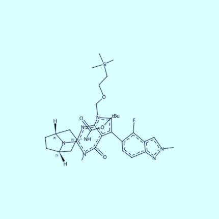 Cn1cc2c(F)c(-c3cn(COCC[Si](C)(C)C)c4nc(N5[C@@H]6CC[C@H]5C[C@@H](NC(=O)OC(C)(C)C)C6)n(C)c(=O)c34)ccc2n1